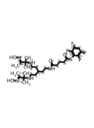 C/C(=N\O)C(C)(C)NCCC(CCNC(=O)CCCC(=O)Sc1c(F)c(F)cc(F)c1F)CCNC(C)(C)/C(C)=N/O